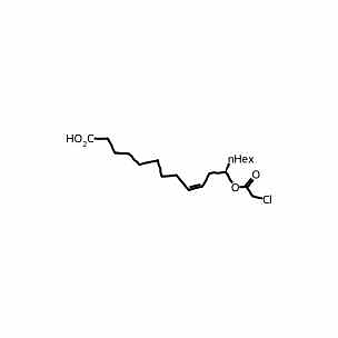 CCCCCC[C@H](C/C=C\CCCCCCCC(=O)O)OC(=O)CCl